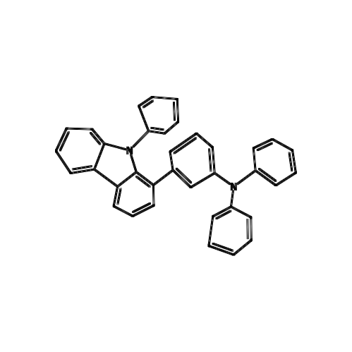 c1ccc(N(c2ccccc2)c2cccc(-c3cccc4c5ccccc5n(-c5ccccc5)c34)c2)cc1